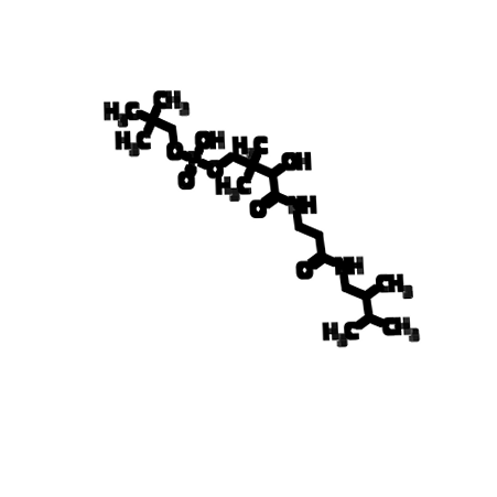 CC(C)C(C)CNC(=O)CCNC(=O)C(O)C(C)(C)COP(=O)(O)OCC(C)(C)C